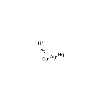 [Ag].[Cu].[H+].[Hg].[Pt]